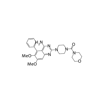 COc1cc2nc(N3CCN(C(=O)N4CCOCC4)CC3)nc(N)c2c(-c2ccccc2)c1OC